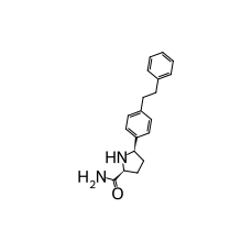 NC(=O)[C@@H]1CC[C@H](c2ccc(CCc3ccccc3)cc2)N1